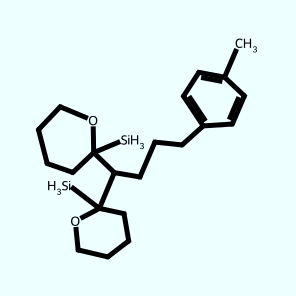 Cc1ccc(CCCC(C2([SiH3])CCCCO2)C2([SiH3])CCCCO2)cc1